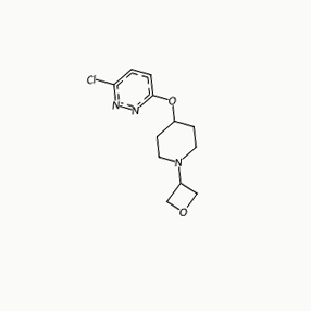 Clc1ccc(OC2CCN(C3COC3)CC2)nn1